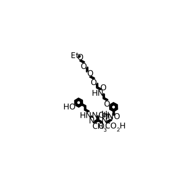 CCOCCOCCOCCOCCC(=O)NCCCOc1cccc(C(=O)NC[C@H](NC(=O)c2c(C)nc(NCCCc3cccc(O)c3)nc2C)C(=O)O)c1